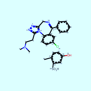 CN(C)CCc1nnc2n1-c1ccc(Cl)cc1C(c1ccccc1)=NC2.Cc1ccc(O)cc1S(=O)(=O)O